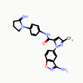 N=C1CCCN1c1ccc(NC(=O)c2cc(C(F)(F)F)nn2-c2ccc3onc(N)c3c2)cc1